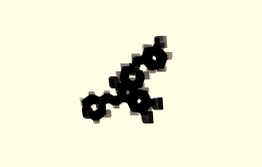 O=C1N(CCN2CCOCC2)c2cc(Cl)c(Cl)cc2C12CCN(Cc1cccc(Cl)c1)CC2